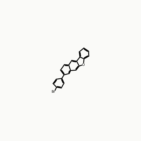 Brc1ccc(-c2ccc3cc4c(cc3c2)oc2ccccc24)cc1